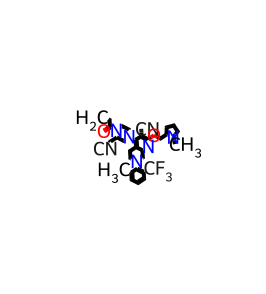 C=CC(=O)N1CCN(c2c(C#N)c(OCC3CCCN3C)nc3c2CCN(c2c(C)cccc2C(F)(F)F)C3)CC1CC#N